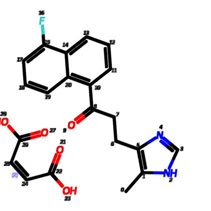 Cc1[nH]cnc1CCC(=O)c1cccc2c(F)cccc12.O=C(O)/C=C\C(=O)O